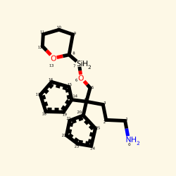 NCCCC(CO[SiH2]C1CCCCO1)(c1ccccc1)c1ccccc1